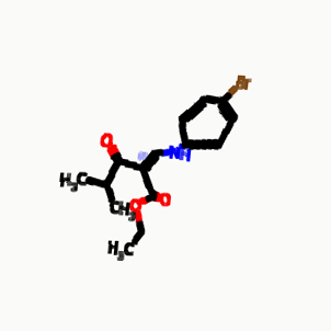 CCOC(=O)/C(=C\Nc1ccc(Br)cc1)C(=O)C(C)C